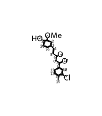 COc1cc(C=CC(=O)CC(=O)c2ccc(C)c(Cl)c2)ccc1O